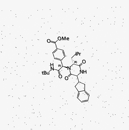 COC(=O)c1ccc([C@H](C(=O)NC(C)(C)C)N2C(=O)C(C3Cc4ccccc4C3)NC(=O)[C@H]2CC(C)C)cc1